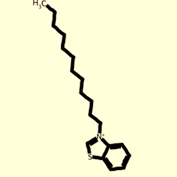 CCCCCCCCCCCC[n+]1csc2ccccc21